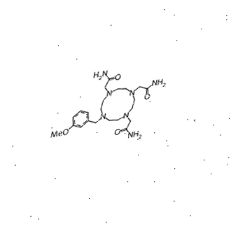 COc1cccc(CN2CCN(CC(N)=O)CCN(CC(N)=O)CCN(CC(N)=O)CC2)c1